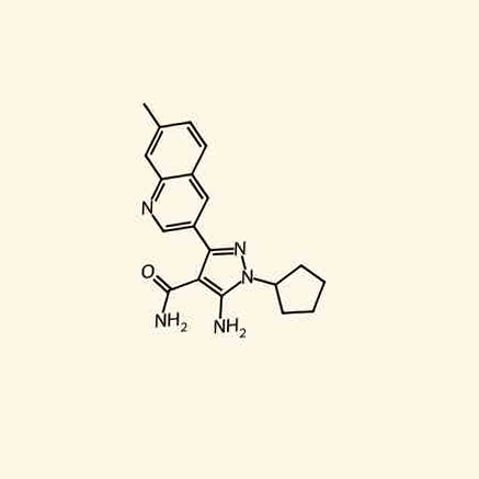 Cc1ccc2cc(-c3nn(C4CCCC4)c(N)c3C(N)=O)cnc2c1